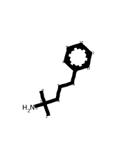 CC(C)(N)CCCc1ccccc1